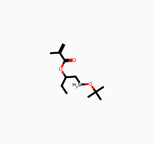 C=C(C)C(=O)OC(CC)C[SiH2]OC(C)(C)C